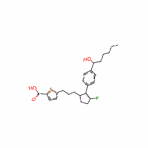 CCCCCC(O)c1ccc(C2=C(F)CCC2CCCc2ccc(C(=O)O)s2)cc1